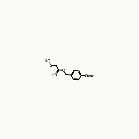 COc1ccc(COC(=N)CSC#N)cc1